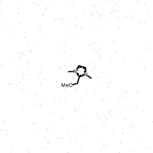 COCc1n(C)cc[n+]1C